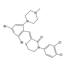 CN1CCN(c2cc(Br)cc(Br)c2C=C2SCCN(c3ccc(Cl)c(Cl)c3)C2=O)CC1